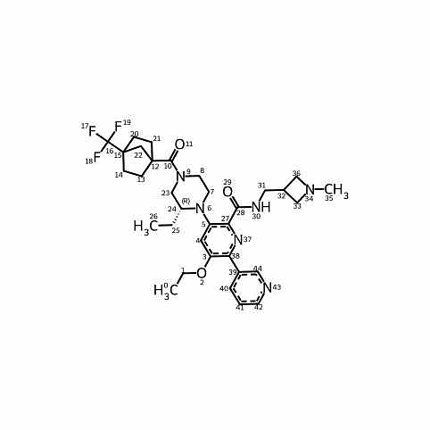 CCOc1cc(N2CCN(C(=O)C34CCC(C(F)(F)F)(CC3)C4)C[C@H]2CC)c(C(=O)NCC2CN(C)C2)nc1-c1cccnc1